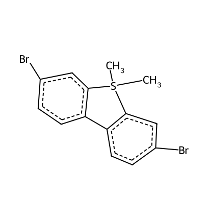 CS1(C)c2cc(Br)ccc2-c2ccc(Br)cc21